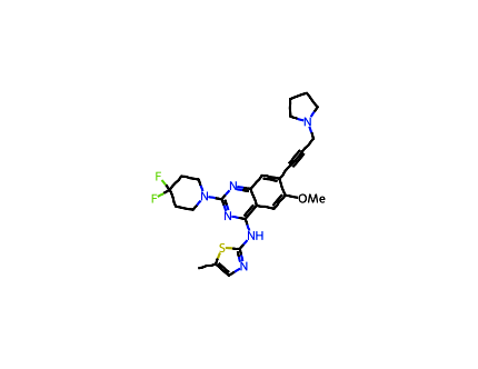 COc1cc2c(Nc3ncc(C)s3)nc(N3CCC(F)(F)CC3)nc2cc1C#CCN1CCCC1